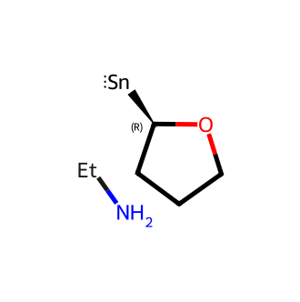 CCN.[Sn][C@@H]1CCCO1